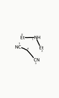 CCNCC.N#CCC#N